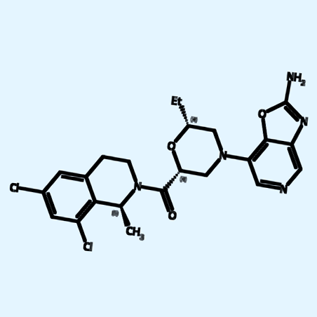 CC[C@@H]1CN(c2cncc3nc(N)oc23)C[C@H](C(=O)N2CCc3cc(Cl)cc(Cl)c3[C@@H]2C)O1